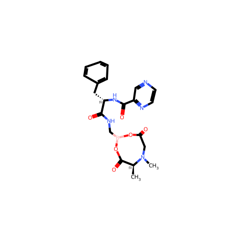 C[C@H]1C(=O)OB(CNC(=O)[C@H](Cc2ccccc2)NC(=O)c2cnccn2)OC(=O)CN1C